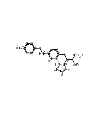 CCCC(C(=O)O)[C@H](Cc1ccc(NCc2ccc(O)cc2)nc1)c1nnn[nH]1